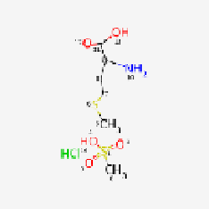 CS(=O)(=O)O.CSCCC(N)C(=O)O.Cl